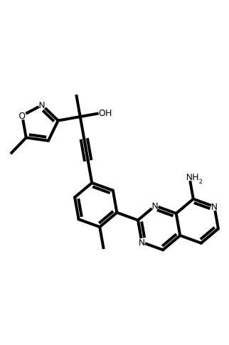 Cc1cc(C(C)(O)C#Cc2ccc(C)c(-c3ncc4ccnc(N)c4n3)c2)no1